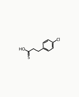 OC(=S)CCc1ccc(Cl)cc1